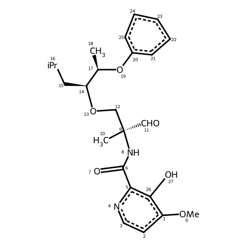 COc1ccnc(C(=O)N[C@](C)(C=O)CO[C@@H](CC(C)C)[C@@H](C)Oc2ccccc2)c1O